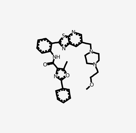 COCCN1CCN(Cc2cnc3sc(-c4ccccc4NC(=O)c4nc(-c5ccccc5)oc4C)nc3c2)CC1